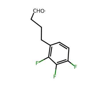 O=[C]CCCc1ccc(F)c(F)c1F